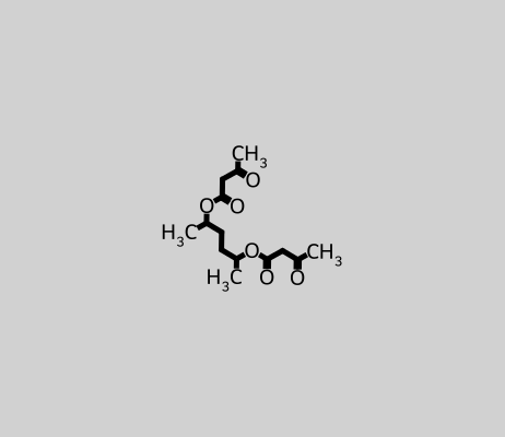 CC(=O)CC(=O)OC(C)CCC(C)OC(=O)CC(C)=O